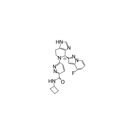 O=C(NC1CCC1)c1ccc(N2CCc3[nH]cnc3[C@H]2c2cc3c(F)cccn3n2)nn1